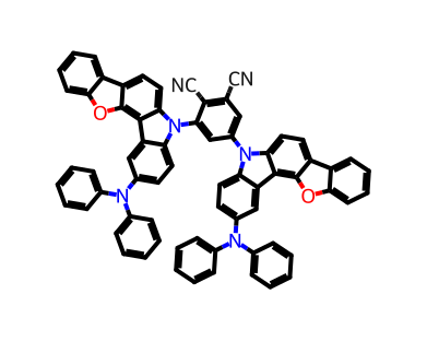 N#Cc1cc(-n2c3ccc(N(c4ccccc4)c4ccccc4)cc3c3c4oc5ccccc5c4ccc32)cc(-n2c3ccc(N(c4ccccc4)c4ccccc4)cc3c3c4oc5ccccc5c4ccc32)c1C#N